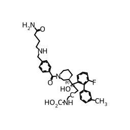 Cc1cccc(-c2c(F)cccc2[C@](O)(CCCNC(=O)O)[C@@H]2CCCN(C(=O)c3ccc(CNCCCC(N)=O)cc3)C2)c1